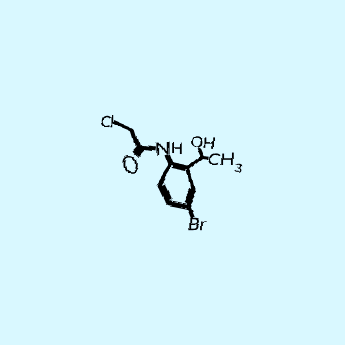 CC(O)c1cc(Br)ccc1NC(=O)CCl